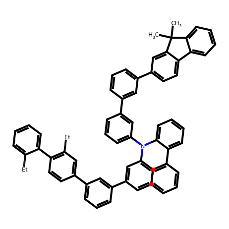 CCc1ccccc1-c1ccc(-c2cccc(-c3cccc(N(c4cccc(-c5cccc(-c6ccc7c(c6)C(C)(C)c6ccccc6-7)c5)c4)c4ccccc4-c4ccccc4)c3)c2)cc1CC